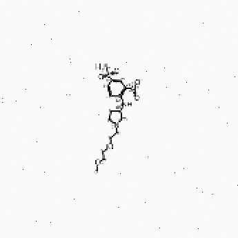 COCCOCCN1CC[C@@H](Nc2ccc(S(N)(=O)=O)cc2[N+](=O)[O-])C1